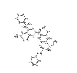 CC(C)CC(NC(=O)OCc1ccccc1)C(=O)NC(CC(C)C)C(=O)NC(C=CS(=O)(=O)c1ccccc1)Cc1ccc(O)cc1